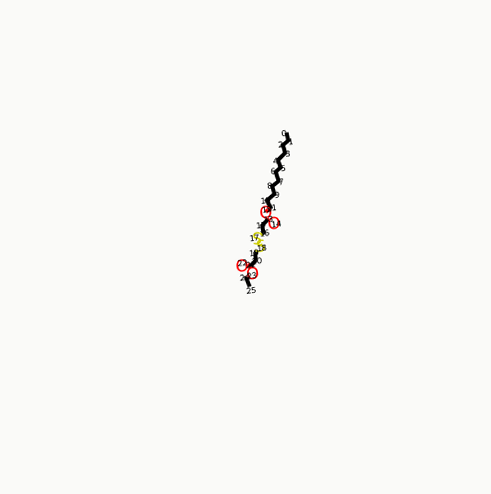 CCCCCCCCCCCCOC(=O)CCSSCCC(=O)OCC